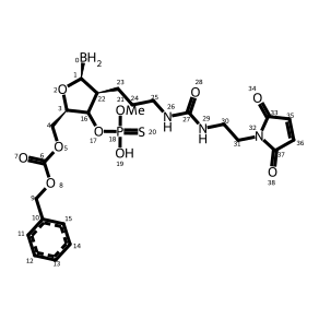 B[C@@H]1O[C@H](COC(=O)OCc2ccccc2)C(OP(O)(=S)OC)[C@@H]1CCCNC(=O)NCCN1C(=O)C=CC1=O